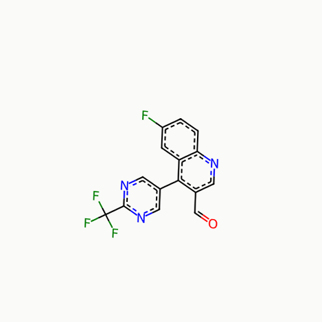 O=Cc1cnc2ccc(F)cc2c1-c1cnc(C(F)(F)F)nc1